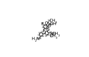 CCC(Oc1nc(Oc2cc(-c3cccc(CN)c3)ccc2CN(C)C)c(F)cc1F)C(=O)O